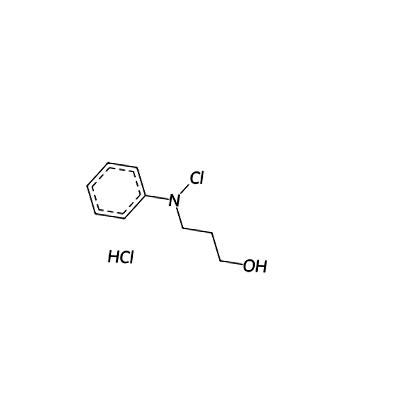 Cl.OCCCN(Cl)c1ccccc1